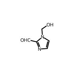 O=Cc1nccn1CO